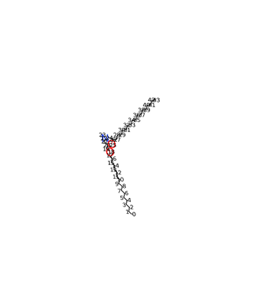 CCCCCCCCCCCCCCCCCCOCC(CN(C)C)OCCCCCCCCCCCCCCCCCC